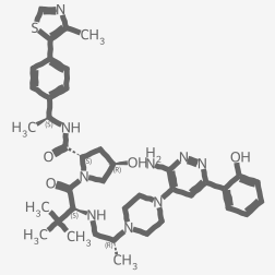 Cc1ncsc1-c1ccc([C@H](C)NC(=O)[C@@H]2C[C@@H](O)CN2C(=O)[C@@H](NC[C@@H](C)N2CCN(c3cc(-c4ccccc4O)nnc3N)CC2)C(C)(C)C)cc1